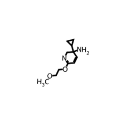 COCCOC1=NCC(N)(C2CC2)C=C1